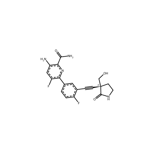 NC(=O)c1nc(-c2ccc(F)c(C#C[C@@]3(CO)CCNC3=O)c2)c(F)cc1N